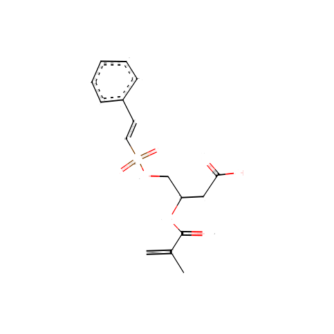 C=C(C)C(=O)OC(COS(=O)(=O)C=Cc1ccccc1)CC(=O)O